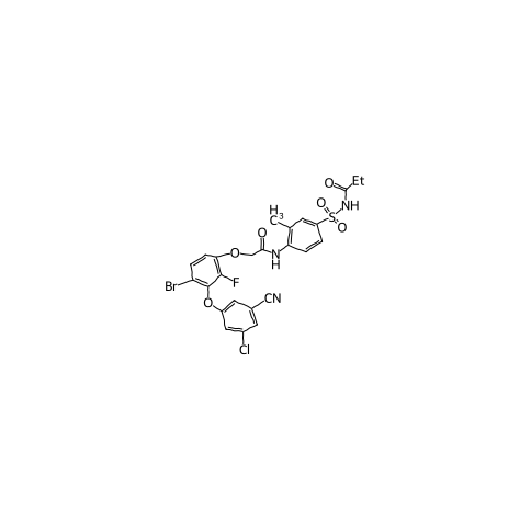 CCC(=O)NS(=O)(=O)c1ccc(NC(=O)COc2ccc(Br)c(Oc3cc(Cl)cc(C#N)c3)c2F)c(C)c1